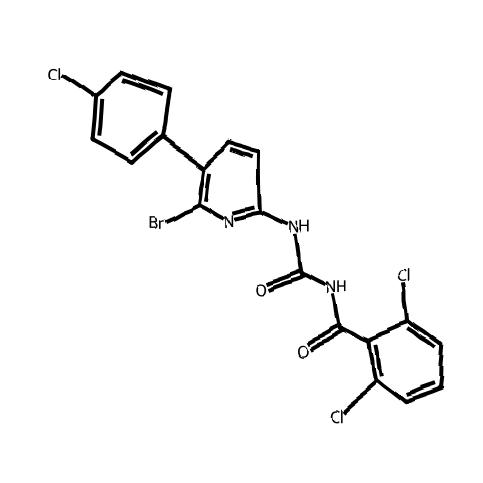 O=C(NC(=O)c1c(Cl)cccc1Cl)Nc1ccc(-c2ccc(Cl)cc2)c(Br)n1